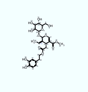 C/C=C1\C(O[C@@H]2OC(CO)[C@@H](O)C(O)C2O)OC=C(C(=O)OC)[C@H]1CC(=O)OCCc1ccc(O)c(O)c1